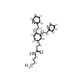 CCCCNC(=O)CCc1ccc(OCc2ccccn2)c(OCc2ccccn2)c1